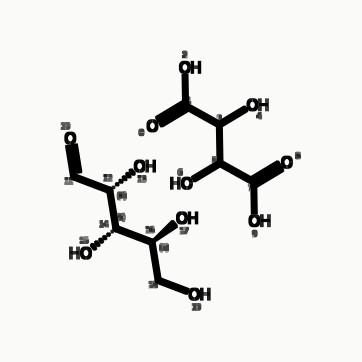 O=C(O)C(O)C(O)C(=O)O.O=C[C@H](O)[C@@H](O)[C@@H](O)CO